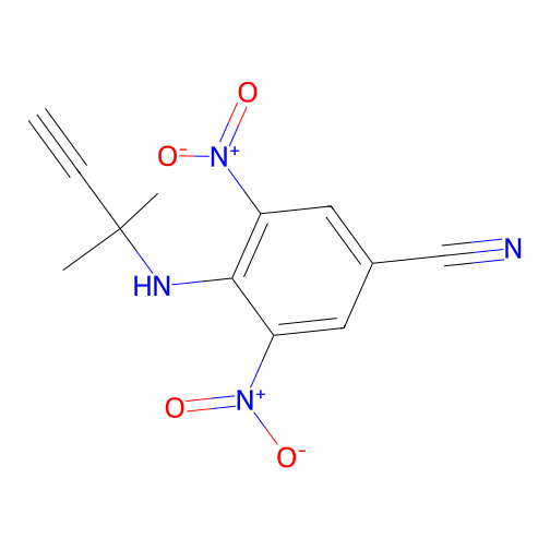 C#CC(C)(C)Nc1c([N+](=O)[O-])cc(C#N)cc1[N+](=O)[O-]